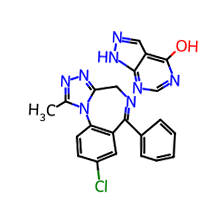 Cc1nnc2n1-c1ccc(Cl)cc1C(c1ccccc1)=NC2.Oc1ncnc2[nH]ncc12